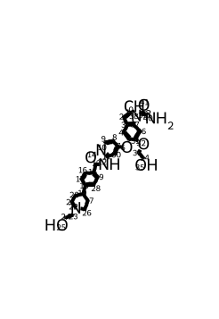 Cc1cc2cc(Oc3ccnc(NC(=O)c4ccc(C5CCN(CCO)CC5)cc4)c3)c(OCCO)cc2n1C(N)=O